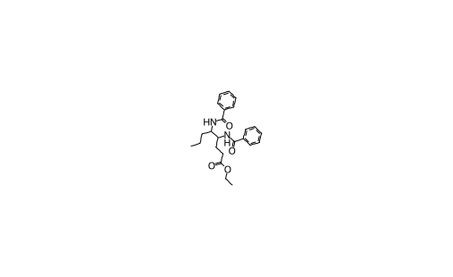 CCCC(NC(=O)c1ccccc1)C(CCC(=O)OCC)NC(=O)c1ccccc1